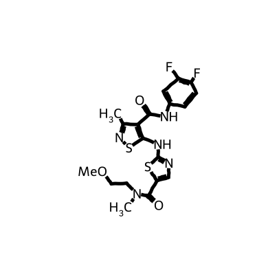 COCCN(C)C(=O)c1cnc(Nc2snc(C)c2C(=O)Nc2ccc(F)c(F)c2)s1